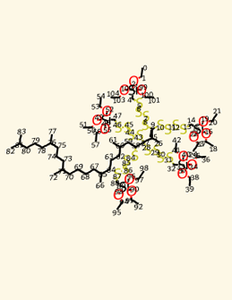 CCO[Si](CSSSSC(SSSSC[Si](OCC)(OCC)OCC)=C(C)C(SSSSC[Si](OCC)(OCC)OCC)(SSSSC[Si](OCC)(OCC)OCC)C(CC(C)CCCC(C)CCCCC(C)CCCC(C)CCCC(C)C)SSSSC[Si](OCC)(OCC)OCC)(OCC)OCC